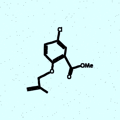 C=C(C)COc1ccc(Cl)cc1C(=O)OC